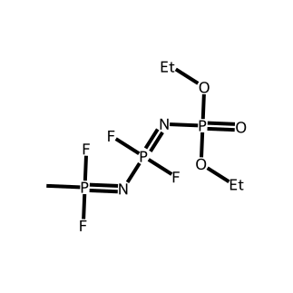 CCOP(=O)(N=P(F)(F)N=P(C)(F)F)OCC